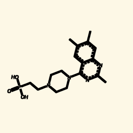 Cc1nc(N2CCN(CCP(=O)(O)O)CC2)c2cc(C)c(C)cc2n1